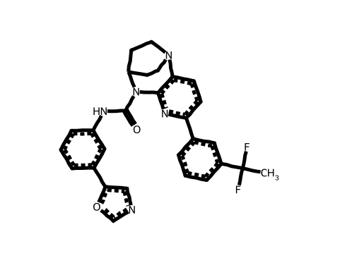 CC(F)(F)c1cccc(-c2ccc3c(n2)N(C(=O)Nc2cccc(-c4cnco4)c2)C2CCN3CC2)c1